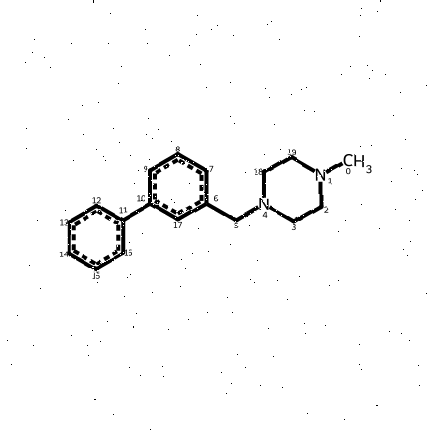 CN1CCN(Cc2cccc(-c3ccccc3)c2)CC1